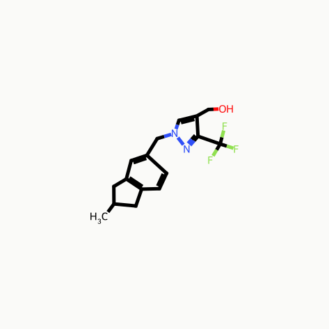 CC1Cc2ccc(Cn3cc(CO)c(C(F)(F)F)n3)cc2C1